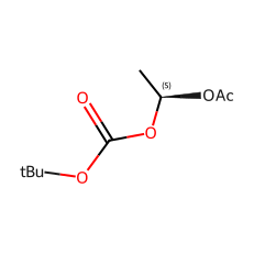 CC(=O)O[C@H](C)OC(=O)OC(C)(C)C